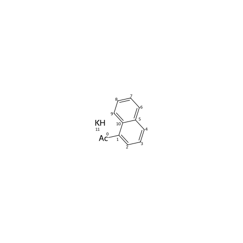 CC(=O)c1cccc2ccccc12.[KH]